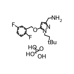 CC(C)(C)CCn1nc(CN)cc1OCc1cc(F)ccc1F.O=P(O)(O)O